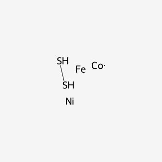 SS.[Co].[Fe].[Ni]